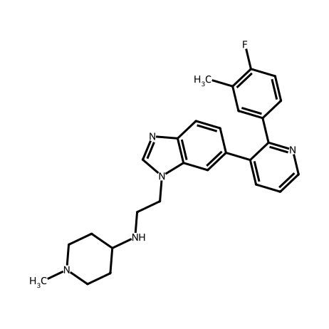 Cc1cc(-c2ncccc2-c2ccc3ncn(CCNC4CCN(C)CC4)c3c2)ccc1F